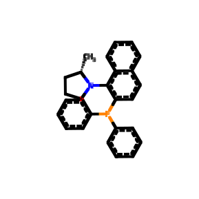 C[C@H]1CCCN1c1c(P(c2ccccc2)c2ccccc2)ccc2ccccc12